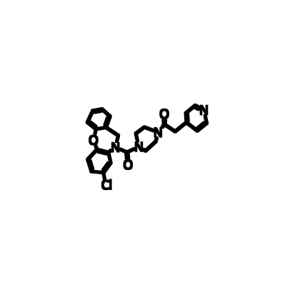 O=C(Cc1ccncc1)N1CCN(C(=O)N2Cc3ccccc3Oc3ccc(Cl)cc32)CC1